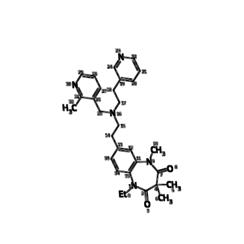 CCN1C(=O)C(C)(C)C(=O)N(C)c2cc(CCN(CCc3cccnc3)Cc3cccnc3C)ccc21